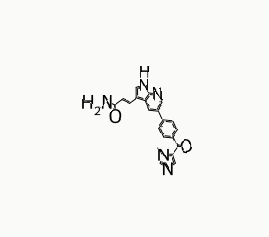 Cn1cncc1C(=O)c1ccc(-c2cnc3[nH]cc(/C=C/C(N)=O)c3c2)cc1